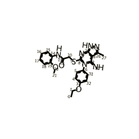 CCOc1ccc(-n2c(SCC(=O)Nc3ccccc3OC)nc3[nH]nc(C)c3c2=N)cc1